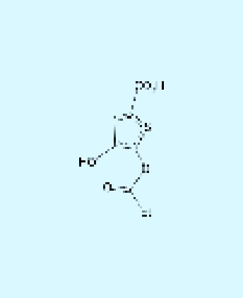 CCC(=O)Oc1sc(C(=O)O)cc1O